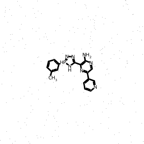 Cc1cccc([PH]2=NN=C(c3nc(-c4cccnc4)cnc3N)N2)c1